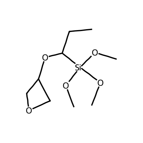 CCC(OC1COC1)[Si](OC)(OC)OC